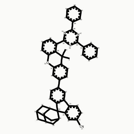 CC1(C)c2ccc(-c3ccc4c(c3)-c3ccc(C#N)cc3C43C4CC5CC(C4)CC3C5)cc2Oc2cccc(-c3nc(-c4ccccc4)nc(-c4ccccc4)n3)c21